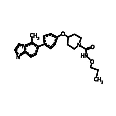 CCCONC(=O)N1CCC(Oc2ccc(-c3ccc4nccn4c3C)cc2)CC1